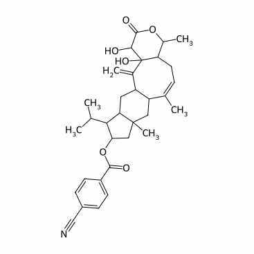 C=C1C2CC3C(C(C)C)C(OC(=O)c4ccc(C#N)cc4)CC3(C)CC2/C(C)=C\CC2C(C)OC(=O)C(O)C12O